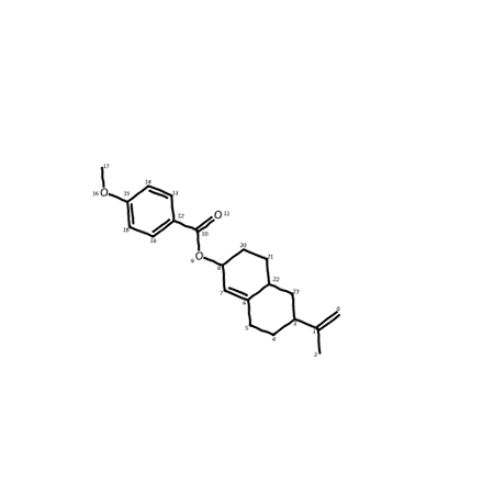 C=C(C)C1CCC2=CC(OC(=O)c3ccc(OC)cc3)CCC2C1